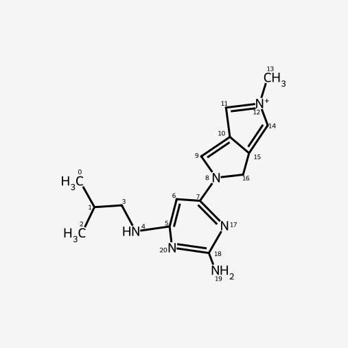 CC(C)CNc1cc(N2C=C3C=[N+](C)C=C3C2)nc(N)n1